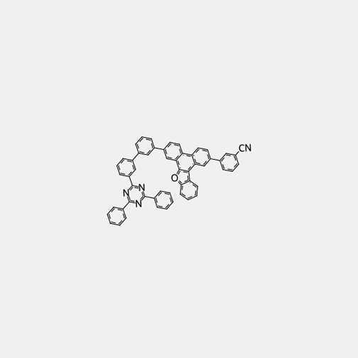 N#Cc1cccc(-c2ccc3c4ccc(-c5cccc(-c6cccc(-c7nc(-c8ccccc8)nc(-c8ccccc8)n7)c6)c5)cc4c4oc5ccccc5c4c3c2)c1